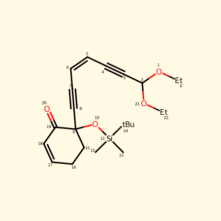 CCOC(C#C/C=C\C#CC1(O[Si](C)(C)C(C)(C)C)CCC=CC1=O)OCC